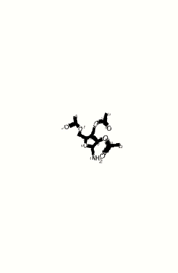 CC(=O)OCC1OC(N)C(OC(C)=O)C1OC(C)=O